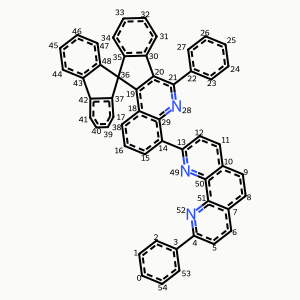 c1ccc(-c2ccc3ccc4ccc(-c5cccc6c7c(c(-c8ccccc8)nc56)-c5ccccc5C75c6ccccc6-c6ccccc65)nc4c3n2)cc1